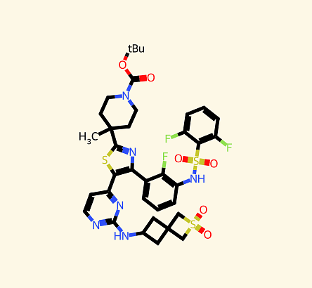 CC(C)(C)OC(=O)N1CCC(C)(c2nc(-c3cccc(NS(=O)(=O)c4c(F)cccc4F)c3F)c(-c3ccnc(NC4CC5(C4)CS(=O)(=O)C5)n3)s2)CC1